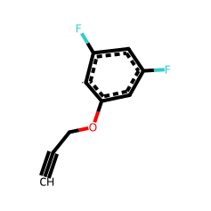 C#CCOc1[c]c(F)cc(F)c1